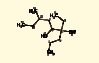 CCCC(O)(CC)C(O)CC(C)CC